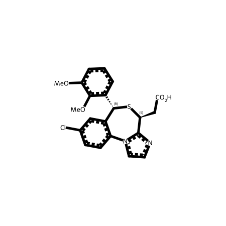 COc1cccc([C@@H]2S[C@@H](CC(=O)O)c3nccn3-c3ccc(Cl)cc32)c1OC